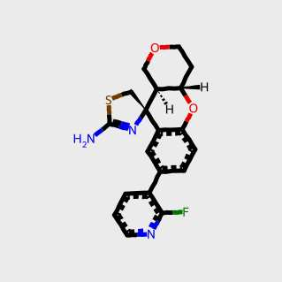 NC1=N[C@@]2(CS1)c1cc(-c3cccnc3F)ccc1O[C@H]1CCOC[C@@H]12